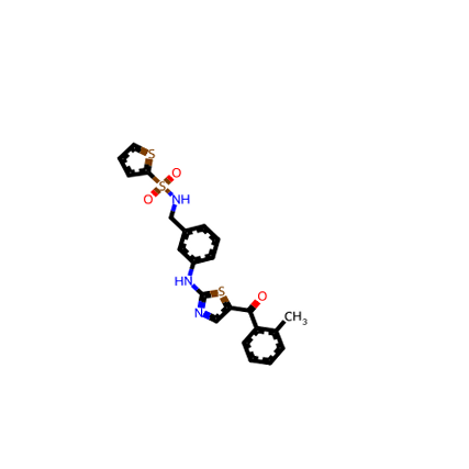 Cc1ccccc1C(=O)c1cnc(Nc2cccc(CNS(=O)(=O)c3cccs3)c2)s1